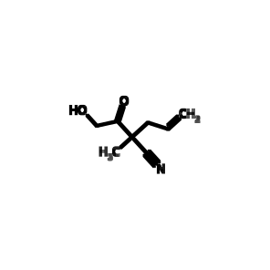 C=CCC(C)(C#N)C(=O)CO